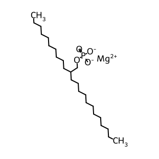 CCCCCCCCCCCCC(CCCCCCCCCC)COP(=O)([O-])[O-].[Mg+2]